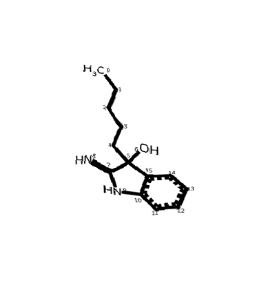 CCCCCC1(O)C(=N)Nc2ccccc21